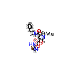 COc1nc2coc(C(=O)C(=O)Nc3nccs3)c2cc1C(=O)N1CCC(Cc2ccccc2)C1